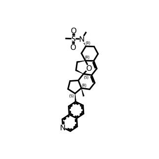 CN([C@@H]1CCC2=CC3=CC[C@@]4(C)C(CC[C@@H]4c4ccc5ccncc5c4)[C@@]34CC[C@]2(C1)O4)S(C)(=O)=O